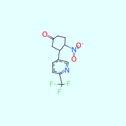 O=C1CCC([N+](=O)[O-])C(c2ccc(C(F)(F)F)nc2)C1